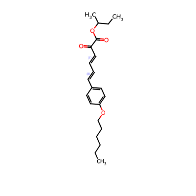 CCCCCCOc1ccc(/C=C/C=C/C(=O)C(=O)OC(C)CC)cc1